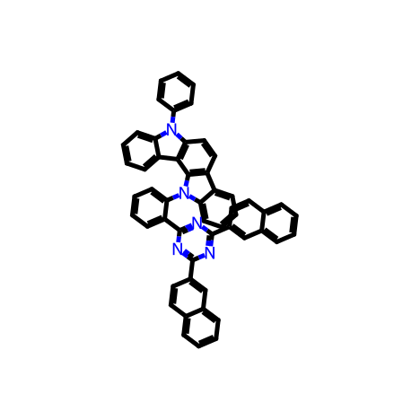 c1ccc(-n2c3ccccc3c3c2ccc2c4ccccc4n(-c4ccccc4-c4nc(-c5ccc6ccccc6c5)nc(-c5ccc6ccccc6c5)n4)c23)cc1